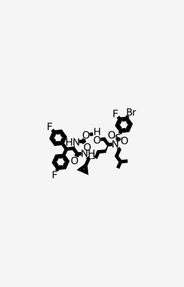 COC(=O)N[C@H](C(=O)N[C@H](CCC[C@@H](CO)N(CCC(C)C)S(=O)(=O)c1ccc(Br)c(F)c1)C1CC1)C(c1ccc(F)cc1)c1ccc(F)cc1